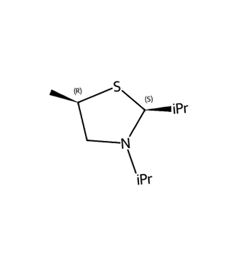 CC(C)[C@@H]1S[C@H](C)CN1C(C)C